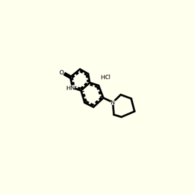 Cl.O=c1ccc2cc(N3CCCCC3)ccc2[nH]1